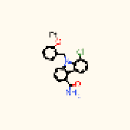 CCOc1ccccc1Cn1c2cccc(C(N)=O)c2c2[c]ccc(Cl)c21